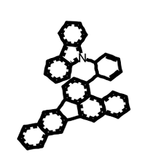 C1=CC(c2ccc3c4c(cc5ccccc5c24)-c2cc4ccccc4cc2-3)C(n2c3ccccc3c3ccccc32)C=C1